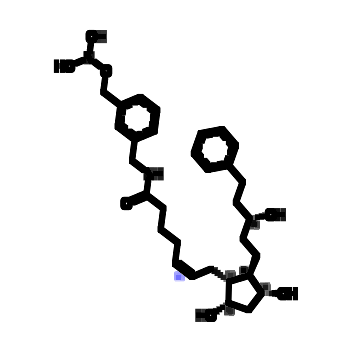 O=C(CCC/C=C\C[C@@H]1[C@@H](CC[C@@H](O)CCc2ccccc2)[C@H](O)C[C@@H]1O)NCc1cccc(CON(O)O)c1